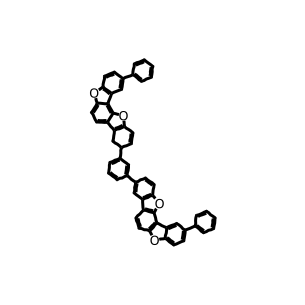 C1=CC(c2cccc(-c3ccc4oc5c(ccc6oc7ccc(-c8ccccc8)cc7c65)c4c3)c2)Cc2c1oc1c2ccc2oc3ccc(-c4ccccc4)cc3c21